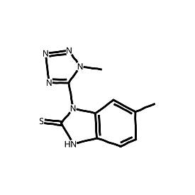 Cc1ccc2[nH]c(=S)n(-c3nnnn3C)c2c1